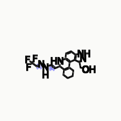 OCc1n[nH]c2ccc3c(c12)C1=C(CCCC1)C(/C=C/N/N=C/C(F)(F)F)N3